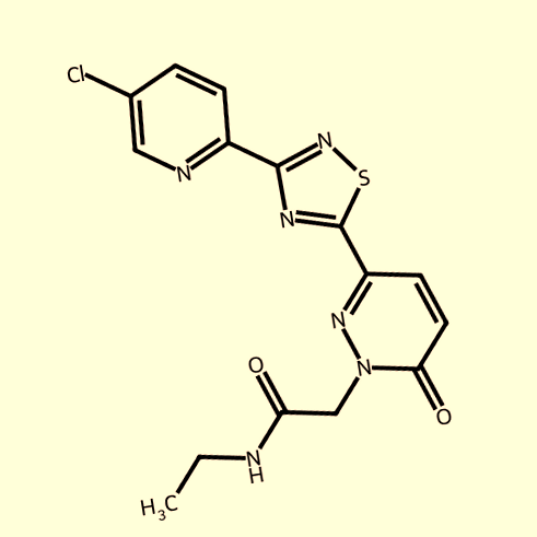 CCNC(=O)Cn1nc(-c2nc(-c3ccc(Cl)cn3)ns2)ccc1=O